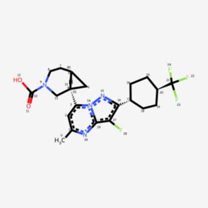 Cc1cc([C@@]23C[C@@H]2CCN(C(=O)O)C3)n2nc([C@H]3CC[C@H](C(F)(F)F)CC3)c(F)c2n1